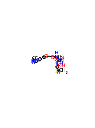 Cc1ncsc1-c1ccc(CNC(=O)C2CC(=O)CN2C(=O)C(NC(=O)COCCCCOc2ccc(C3CCN(C4=Nn5c(nnc5C(F)(F)F)CC4)CC3)cc2)C(C)(C)C)c(O)c1